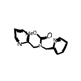 COC(=O)N(Cc1ccccn1)Cc1ccccn1